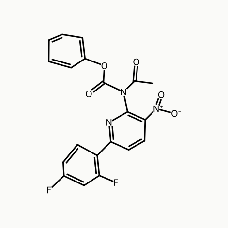 CC(=O)N(C(=O)Oc1ccccc1)c1nc(-c2ccc(F)cc2F)ccc1[N+](=O)[O-]